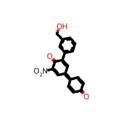 O=C1C=CC(=C2C=C(c3cccc(CO)c3)C(=O)C([N+](=O)[O-])=C2)C=C1